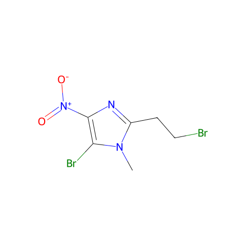 Cn1c(CCBr)nc([N+](=O)[O-])c1Br